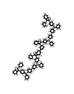 c1ccc(-c2oc3ccccc3c2-c2ccc(N(c3ccccc3)c3ccc(-c4ccc(N(c5ccccc5)c5ccc(-c6c(-c7ccccc7)oc7cc(-c8cccc(-c9c(-c%10ccc(N(c%11ccccc%11)c%11ccc(-c%12ccc(N(c%13ccccc%13)c%13ccc(-c%14oc%15ccccc%15c%14-c%14ccccc%14)cc%13)cc%12)cc%11)cc%10)oc%10ccccc9%10)c8)ccc67)cc5)cc4)cc3)cc2)cc1